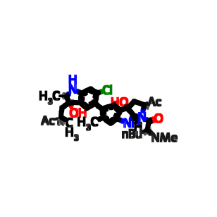 CCCC[C@H](NC)C(=O)N1[C@H](C(C)=O)C[C@@]2(O)c3cc(-c4cc5c(cc4Cl)N[C@@H](C)[C@@]5(O)C[C@H](C)C(C)=O)c(C)cc3N[C@@H]12